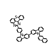 c1ccc2c(c1)Sc1cccc3nc(-c4ccc(-n5c6ccccc6c6ccc(-c7ccc8c9ccccc9n(-c9ccc%10ccccc%10c9)c8c7)cc65)cc4)nc-2c13